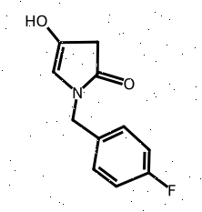 O=C1CC(O)=CN1Cc1ccc(F)cc1